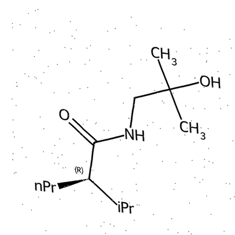 CCC[C@@H](C(=O)NCC(C)(C)O)C(C)C